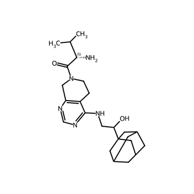 CC(C)[C@H](N)C(=O)N1CCc2c(ncnc2NCC(O)C23CC4CC(CC(C4)C2)C3)C1